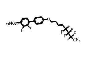 CCCCCCCCCc1ccc(-c2ccc(OCCCCC(F)(F)C(F)(F)C(F)(F)C(F)(F)F)cc2)c(F)c1F